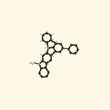 Cn1c2ccccc2c2cc3c4cc(-c5ccccc5)cc5c6ccccc6n(c3cc21)c54